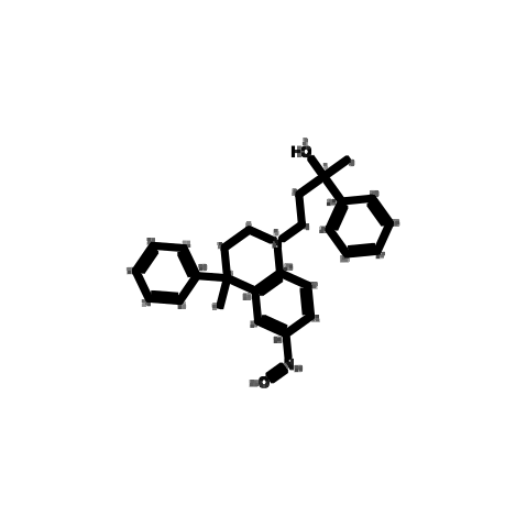 CC(O)(CCN1CCC(C)(c2ccccc2)c2cc(N=O)ccc21)c1ccccc1